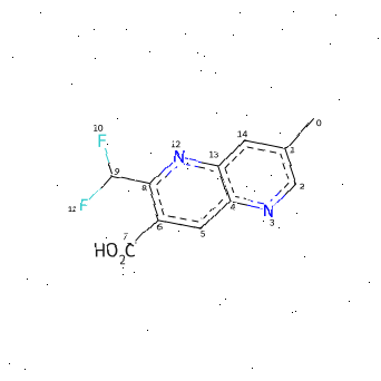 Cc1cnc2cc(C(=O)O)c(C(F)F)nc2c1